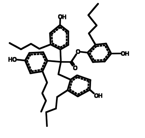 CCCCc1cc(O)ccc1CC(C(=O)Oc1ccc(O)cc1CCCC)(c1ccc(O)cc1CCCC)c1ccc(O)cc1CCCC